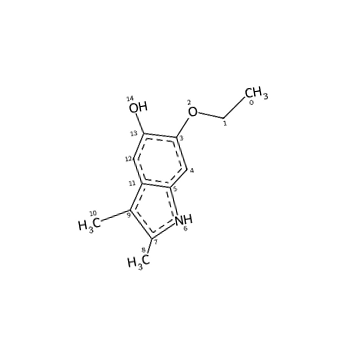 CCOc1cc2[nH]c(C)c(C)c2cc1O